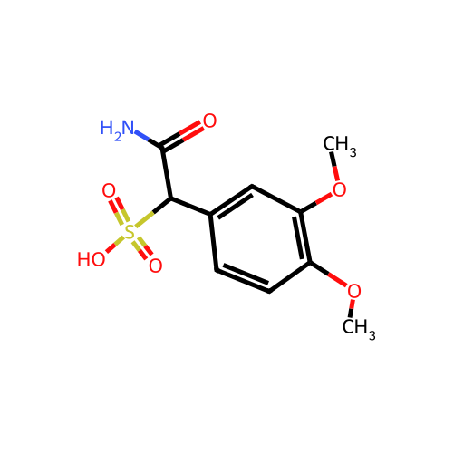 COc1ccc(C(C(N)=O)S(=O)(=O)O)cc1OC